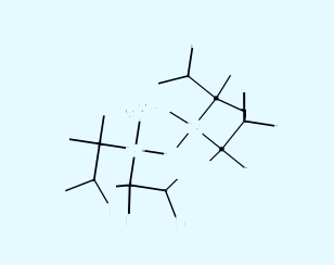 CCC(F)[C](F)(F)[Sn]([O]C)([O][Sn]([O]C)([C](F)(F)C(F)CC)[C](F)(F)C(F)CC)[C](F)(F)C(F)CC